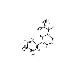 CC(C(N)=O)[C@H]1CCC[C@@H](c2ccc(=O)[nH]c2)C1